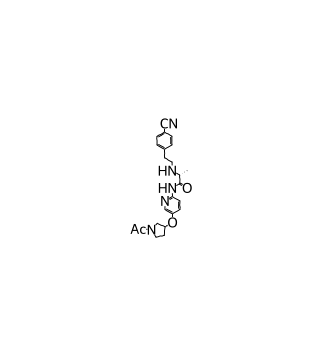 CC(=O)N1CC[C@H](Oc2ccc(NC(=O)[C@@H](C)NCCc3ccc(C#N)cc3)nc2)C1